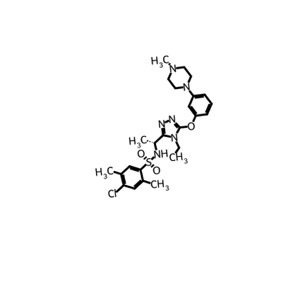 CCn1c(Oc2cccc(N3CCN(C)CC3)c2)nnc1[C@@H](C)NS(=O)(=O)c1cc(C)c(Cl)cc1C